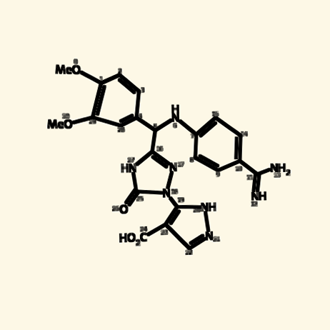 COc1ccc(C(Nc2ccc(C(=N)N)cc2)c2nn(-c3[nH]ncc3C(=O)O)c(=O)[nH]2)cc1OC